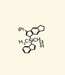 CC(C)C1=CC([Si](C)(C)C2C=Cc3ccccc32)c2cc3c(cc21)CCC3.[LiH]